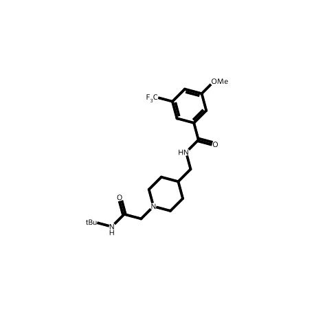 COc1cc(C(=O)NCC2CCN(CC(=O)NC(C)(C)C)CC2)cc(C(F)(F)F)c1